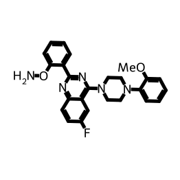 COc1ccccc1N1CCN(c2nc(-c3ccccc3ON)nc3ccc(F)cc23)CC1